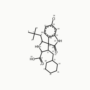 CC(C)(C)CC1NC(C(=O)O)C(CC2CCCCC2)C12C(=O)Nc1cc(Cl)ccc12